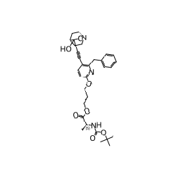 C[C@H](NC(=O)OC(C)(C)C)C(=O)OCCCOc1ccc(C#CC2(O)CN3CCC2CC3)c(Cc2ccccc2)n1